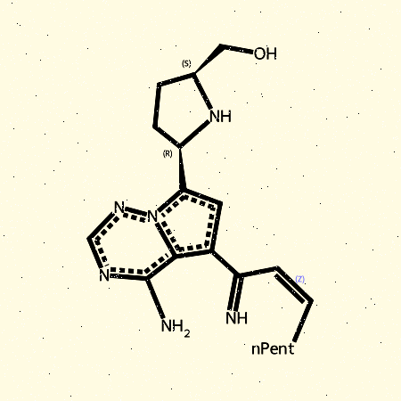 CCCCC/C=C\C(=N)c1cc([C@H]2CC[C@@H](CO)N2)n2ncnc(N)c12